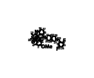 COc1cc(C)c(S(=O)(=O)N(C)C(C)c2nc3cccc(C(=O)N4CCC5(CCN(Cc6cc(F)ccc6F)CC5)CC4)c3[nH]2)c(C)c1